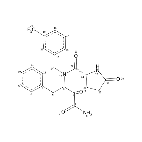 NC(=O)C(=O)C(Cc1ccccc1)N(Cc1cccc(C(F)(F)F)c1)C(=O)[C@H]1CCC(=O)N1